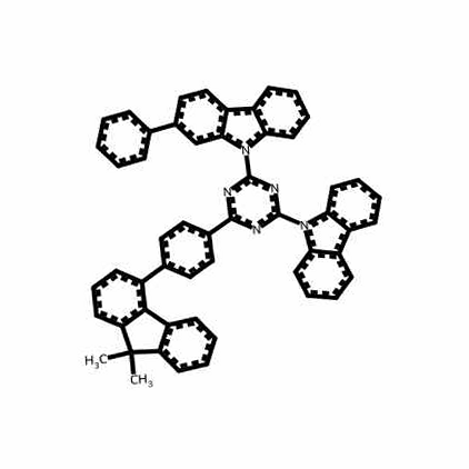 CC1(C)c2ccccc2-c2c(-c3ccc(-c4nc(-n5c6ccccc6c6ccccc65)nc(-n5c6ccccc6c6ccc(-c7ccccc7)cc65)n4)cc3)cccc21